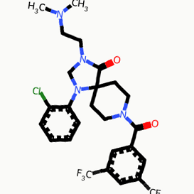 CN(C)CCN1CN(c2ccccc2Cl)C2(CCN(C(=O)c3cc(C(F)(F)F)cc(C(F)(F)F)c3)CC2)C1=O